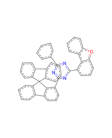 c1ccc(-c2nc(-c3cccc4c3C3(c5ccccc5-c5ccccc53)c3ccccc3-4)nc(-c3cccc4oc5ccccc5c34)n2)cc1